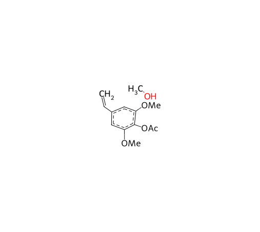 C=Cc1cc(OC)c(OC(C)=O)c(OC)c1.CO